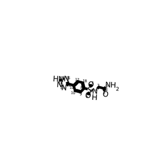 NC(=O)CNS(=O)(=O)c1ccc(-c2nn[nH]n2)cc1